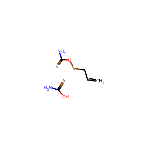 C=CCSOC(N)=S.NC(O)=S